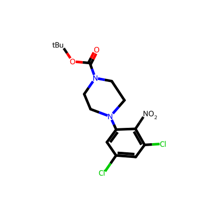 CC(C)(C)OC(=O)N1CCN(c2cc(Cl)cc(Cl)c2[N+](=O)[O-])CC1